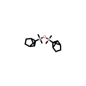 C[Si](C)(O[Si](C)(C)C1=CC2CCC1C2)C1=CC2CCC1C2